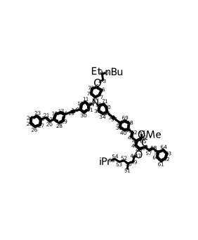 CCCCC(CC)COc1ccc(N(c2ccc(C#Cc3ccc(C=Cc4ccccc4)cc3)cc2)c2ccc(C#Cc3ccc(C=Cc4cc(OCCC(C)CCCC(C)C)c(C=Cc5ccccc5)cc4OC)cc3)cc2)cc1